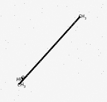 CCCCCCCCCCCCCCCCCCCCCCCCCCCCCCCCCCCCCCCCCCCCCCCCCCCCCCCCCCCCCCCCCCCCCCCCCCCCCCCCCCCCCCCCCCCCC(CCCCCCC)C(=O)O